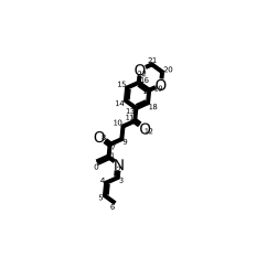 C=C(/N=C\C=C/C)C(=O)CCC(=O)c1ccc2c(c1)OCCO2